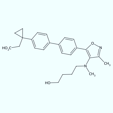 Cc1noc(-c2ccc(-c3ccc(C4(CC(=O)O)CC4)cc3)cc2)c1N(C)CCCCO